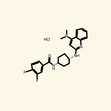 CN(C)c1cc(N[C@H]2CC[C@@H](NC(=O)c3ccc(F)c(F)c3)CC2)nc2ccccc12.Cl